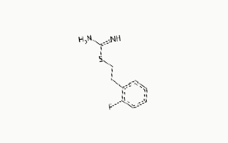 N=C(N)SCCc1ccccc1F